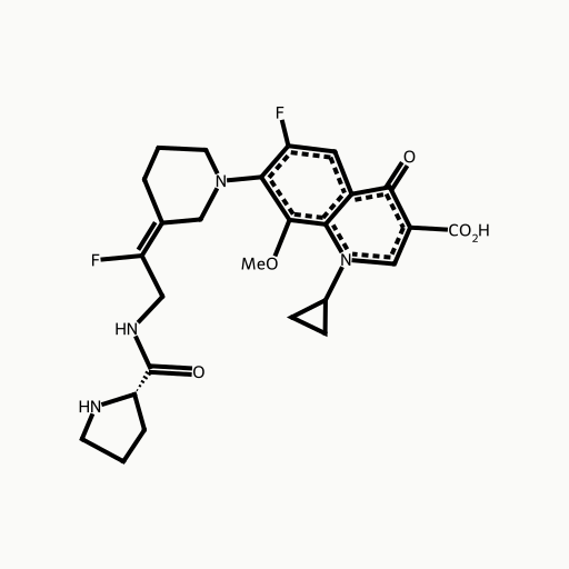 COc1c(N2CCC/C(=C(\F)CNC(=O)[C@@H]3CCCN3)C2)c(F)cc2c(=O)c(C(=O)O)cn(C3CC3)c12